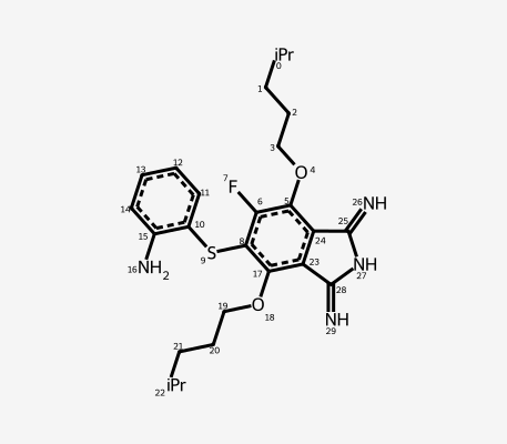 CC(C)CCCOc1c(F)c(Sc2ccccc2N)c(OCCCC(C)C)c2c1C(=N)NC2=N